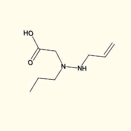 C=CCNN(CCC)CC(=O)O